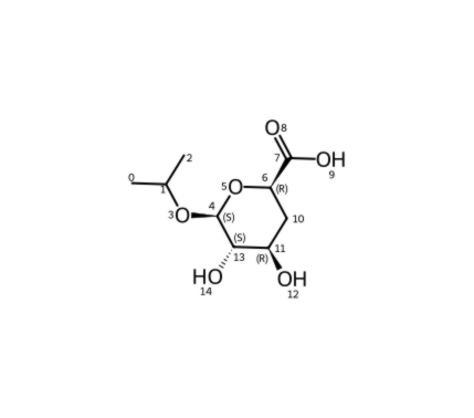 CC(C)O[C@H]1O[C@@H](C(=O)O)C[C@@H](O)[C@@H]1O